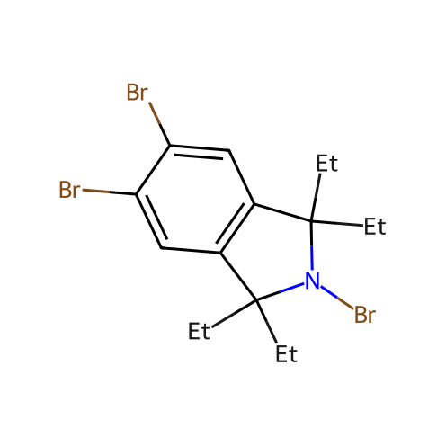 CCC1(CC)c2cc(Br)c(Br)cc2C(CC)(CC)N1Br